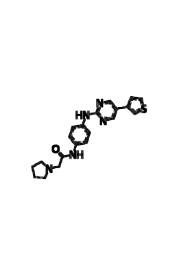 O=C(CN1CCCC1)Nc1ccc(Nc2ncc(-c3ccsc3)cn2)cc1